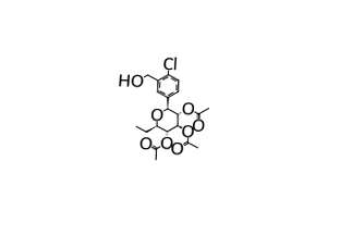 CC[C@H]1O[C@@H](c2ccc(Cl)c(CO)c2)[C@H](OC(C)=O)[C@@H](OC(C)=O)[C@@H]1OC(C)=O